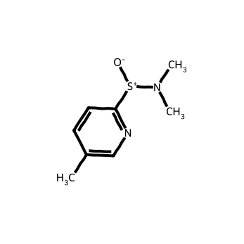 Cc1ccc([S+]([O-])N(C)C)nc1